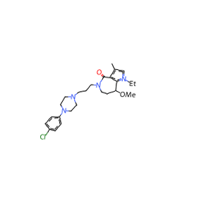 CCn1cc(C)c2c1C(OC)CCN(CCCN1CCN(c3ccc(Cl)cc3)CC1)C2=O